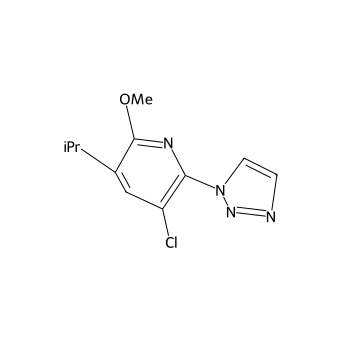 COc1nc(-n2ccnn2)c(Cl)cc1C(C)C